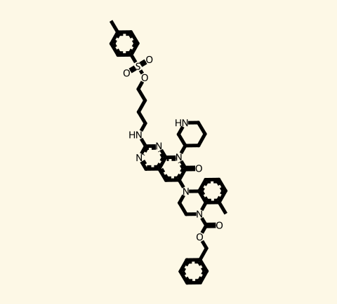 Cc1ccc(S(=O)(=O)OCCCCNc2ncc3cc(N4CCN(C(=O)OCc5ccccc5)c5c(C)cccc54)c(=O)n(C4CCCNC4)c3n2)cc1